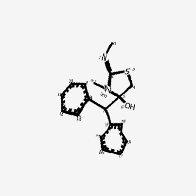 CN=C1SCC(O)(C(c2ccccc2)c2ccccc2)N1C